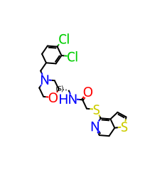 O=C(CSC1=C2C=CSC2CC=N1)NC[C@H]1CN(CC2C=C(Cl)C(Cl)=CC2)CCO1